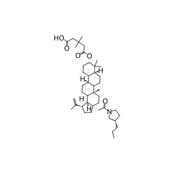 C=C(C)[C@@H]1CC[C@]2(CC(=O)N3CC[C@@H](CCC)C3)CC[C@]3(C)[C@H](CC[C@@H]4[C@@]5(C)CC[C@H](OC(=O)CC(C)(C)CC(=O)O)C(C)(C)[C@@H]5CC[C@]43C)[C@@H]12